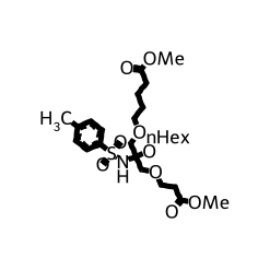 CCCCCCOC(COCCCCC(=O)OC)(COCCC(=O)OC)NS(=O)(=O)c1ccc(C)cc1